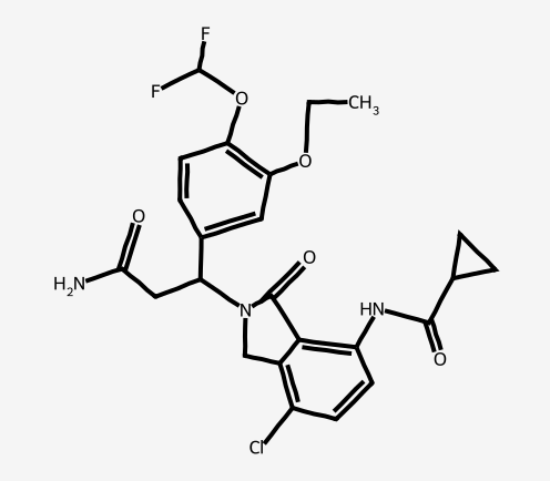 CCOc1cc(C(CC(N)=O)N2Cc3c(Cl)ccc(NC(=O)C4CC4)c3C2=O)ccc1OC(F)F